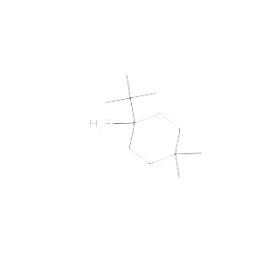 BC1(C(C)(C)C)CCC(C)(C)CC1